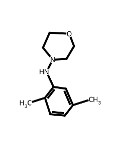 Cc1ccc(C)c(NN2CCOCC2)c1